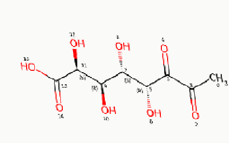 CC(=O)C(=O)[C@H](O)[C@@H](O)[C@@H](O)[C@H](O)C(=O)O